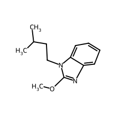 COc1nc2ccccc2n1CCC(C)C